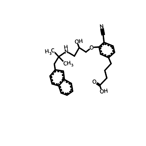 CC(C)(Cc1ccc2ccccc2c1)NCC(O)COc1cc(CCCC(=O)O)ccc1C#N